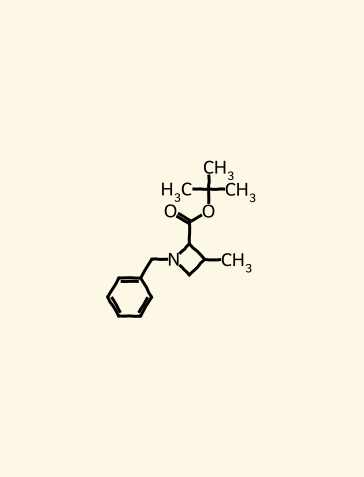 CC1CN(Cc2ccccc2)C1C(=O)OC(C)(C)C